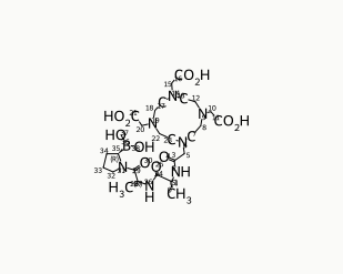 C[C@H](NC(=O)CN1CCN(CC(=O)O)CCN(CC(=O)O)CCN(CC(=O)O)CC1)C(=O)N[C@H](C)C(=O)N1CCC[C@H]1B(O)O